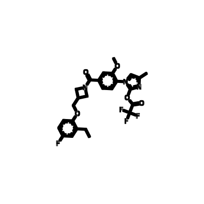 CCc1cc(F)ccc1OCC1CN(C(=O)c2ccc(-n3cc(C)nc3OC(=O)C(F)(F)F)c(OC)c2)C1